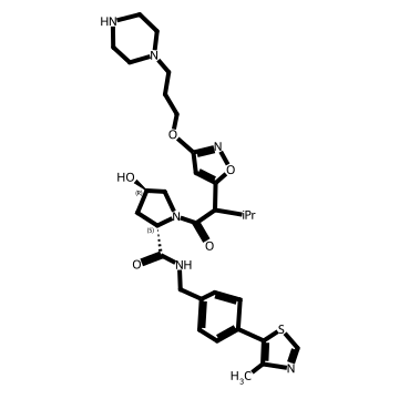 Cc1ncsc1-c1ccc(CNC(=O)[C@@H]2C[C@@H](O)CN2C(=O)C(c2cc(OCCCN3CCNCC3)no2)C(C)C)cc1